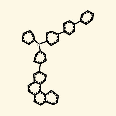 c1ccc(-c2ccc(-c3ccc(N(c4ccccc4)c4ccc(-c5ccc6c(ccc7ccc8ccccc8c76)c5)cc4)cc3)cc2)cc1